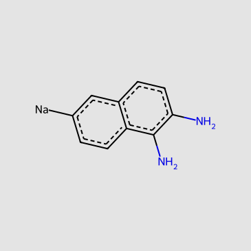 Nc1ccc2c[c]([Na])ccc2c1N